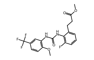 COC(=O)CCc1cccc(F)c1NC(=O)Nc1cc(C(F)(F)F)ccc1OC